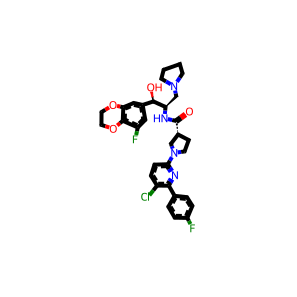 O=C(N[C@H](CN1CCCC1)[C@H](O)c1cc(F)c2c(c1)OCCO2)[C@@H]1CCN(c2ccc(Cl)c(-c3ccc(F)cc3)n2)C1